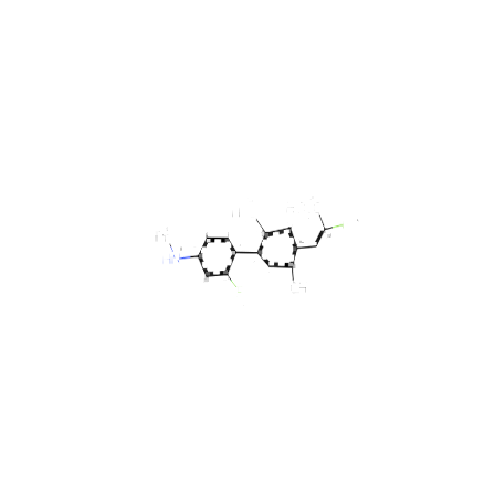 Cc1cc(-c2ccc(NC(C)C)cc2F)c(C)cc1/C=C(/F)C(=O)O